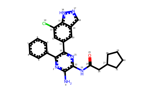 Nc1nc(-c2ccccc2)c(-c2cc(Cl)c3[nH]ncc3c2)nc1NC(=O)CC1CCCC1